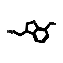 COc1cccc2c1OCC2CC(=O)O